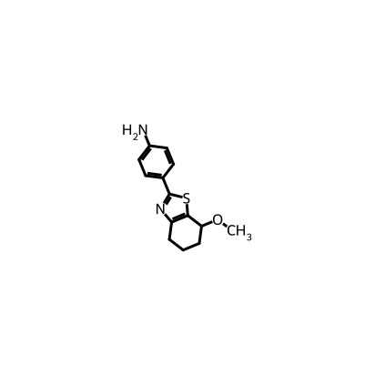 COC1CCCc2nc(-c3ccc(N)cc3)sc21